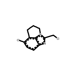 ClCc1nc2ccc(Cl)c3c2n1CCC3